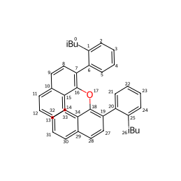 CCC(C)c1ccccc1-c1ccc2ccccc2c1Oc1c(-c2ccccc2C(C)CC)ccc2ccccc12